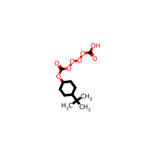 CC(C)(C)C1CCC(OC(=O)OOOOC(=O)O)CC1